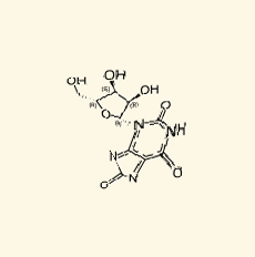 O=C1N=c2c(=O)[nH]c(=O)n([C@@H]3O[C@H](CO)[C@@H](O)[C@H]3O)c2=N1